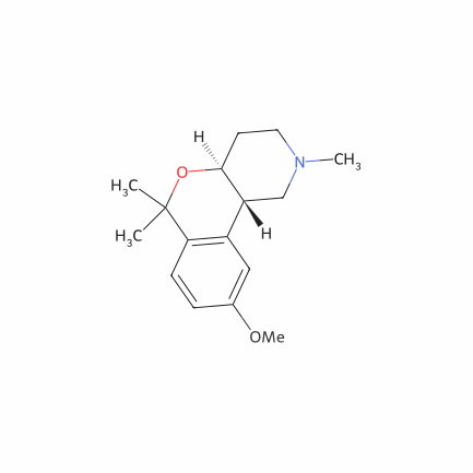 COc1ccc2c(c1)[C@H]1CN(C)CC[C@@H]1OC2(C)C